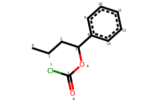 CCCC(OC(=O)Cl)c1ccccc1